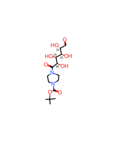 CC(C)(C)OC(=O)N1CCN(C(=O)[C@H](O)[C@@H](O)[C@H](O)[C@H](O)C=O)CC1